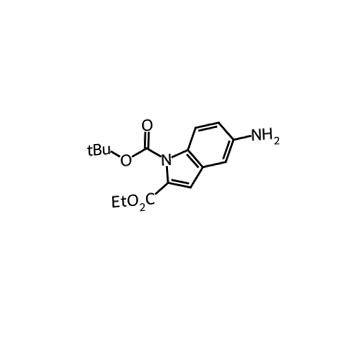 CCOC(=O)c1cc2cc(N)ccc2n1C(=O)OC(C)(C)C